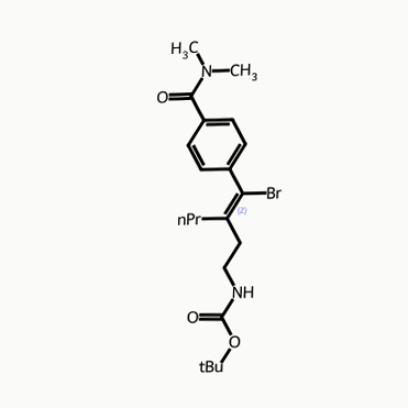 CCC/C(CCNC(=O)OC(C)(C)C)=C(/Br)c1ccc(C(=O)N(C)C)cc1